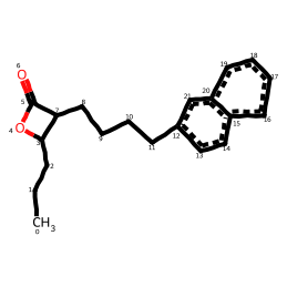 CCCC1OC(=O)C1CCCCc1ccc2ccccc2c1